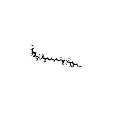 COCc1cc(S(=O)(=O)NC(=O)NCCCCCCNC(=O)NS(=O)(=O)c2coc(COC)c2)co1